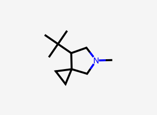 CN1CC(C(C)(C)C)C2(CC2)C1